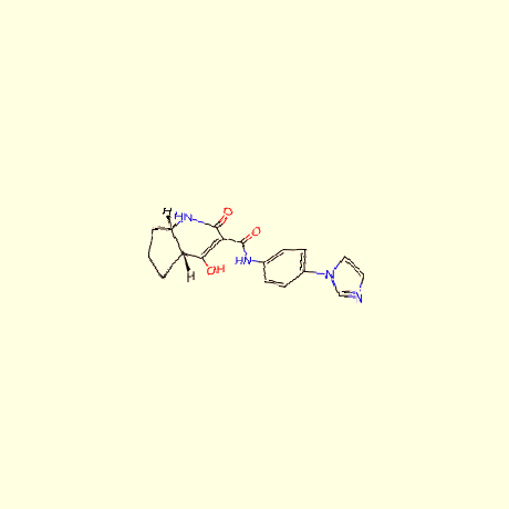 O=C(Nc1ccc(-n2ccnc2)cc1)C1=C(O)[C@@H]2CCC[C@@H]2NC1=O